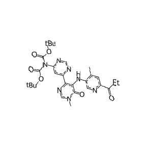 CCC(=O)c1cc(C)c(Nc2c(-c3cc(N(C(=O)OC(C)(C)C)C(=O)OC(C)(C)C)ncn3)ncn(C)c2=O)cn1